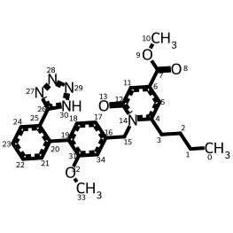 CCCCc1cc(C(=O)OC)cc(=O)n1Cc1ccc(-c2ccccc2-c2nnn[nH]2)c(OC)c1